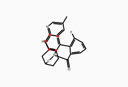 Cc1ccc(NC2CC3CCC2N(C(=O)c2cccc(F)c2-c2ncccn2)C3)nc1